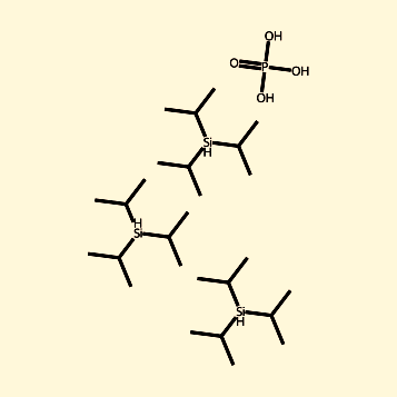 CC(C)[SiH](C(C)C)C(C)C.CC(C)[SiH](C(C)C)C(C)C.CC(C)[SiH](C(C)C)C(C)C.O=P(O)(O)O